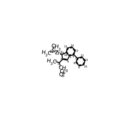 CC(C)C1=Cc2c(-c3ccccc3)cccc2[CH]1[Zr+2][Si](C)C.[Cl-].[Cl-]